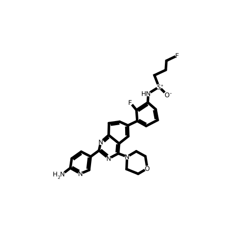 Nc1ccc(-c2nc(N3CCOCC3)c3cc(-c4cccc(N[S+]([O-])CCCF)c4F)ccc3n2)cn1